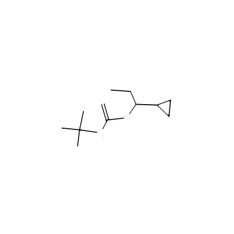 CCC(NC(=O)OC(C)(C)C)C1CC1